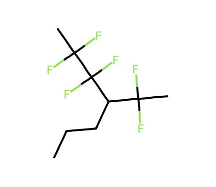 CCCC(C(C)(F)F)C(F)(F)C(C)(F)F